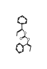 CC=C(OC(=O)OC(=CC)c1ccccc1)c1ccccc1